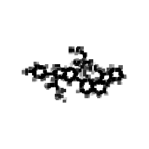 CCS(=O)(=O)Nc1cc2oc(-c3ccc(F)cc3)c(C(=O)NC)c2cc1-c1ccc2ccn3c4ccccc4c(C)c3c2n1